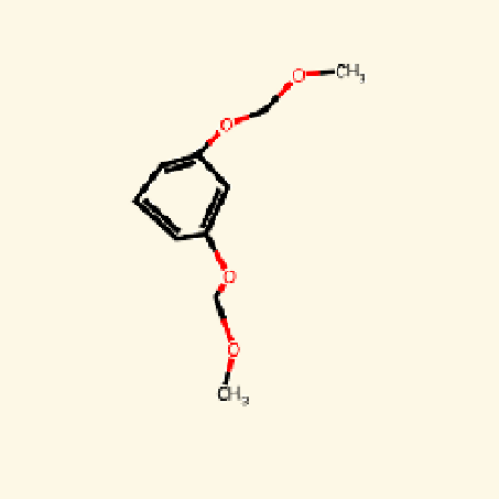 COCOc1cccc(OCOC)c1